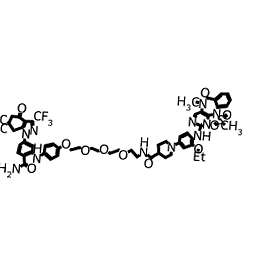 CCOc1cc(N2CCC(C(=O)NCCOCCOCCOCCOc3ccc(Nc4cc(-n5nc(C(F)(F)F)c6c5CC(C)(C)CC6=O)ccc4C(N)=O)cc3)CC2)ccc1Nc1ncc2c(n1)N(S(C)(=O)=O)c1ccccc1C(=O)N2C